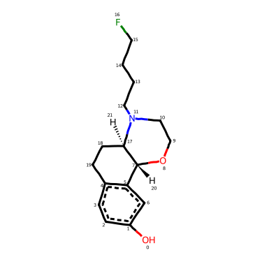 Oc1ccc2c(c1)[C@H]1OCCN(CCCCF)[C@@H]1CC2